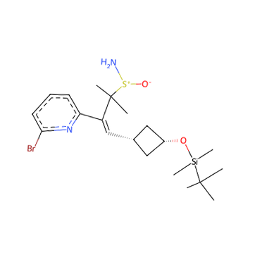 CC(C)(C(=C[C@H]1C[C@@H](O[Si](C)(C)C(C)(C)C)C1)c1cccc(Br)n1)[S+](N)[O-]